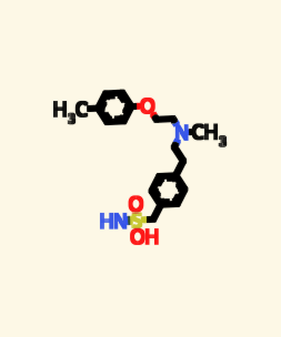 Cc1ccc(OCCN(C)CCc2ccc(CS(=N)(=O)O)cc2)cc1